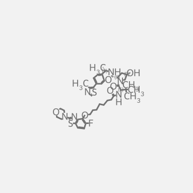 Cc1ncsc1-c1ccc([C@H](C)NC(=O)[C@@H]2C[C@@H](O)CN2C(=O)[C@@H](NC(=O)CCCCCCCOc2c(F)ccc3sc(N4CCOCC4)nc23)C(C)(C)C)cc1